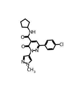 Cn1cc(-n2nc(-c3ccc(Cl)cc3)cc(C(=O)NC3CCCC3)c2=O)cn1